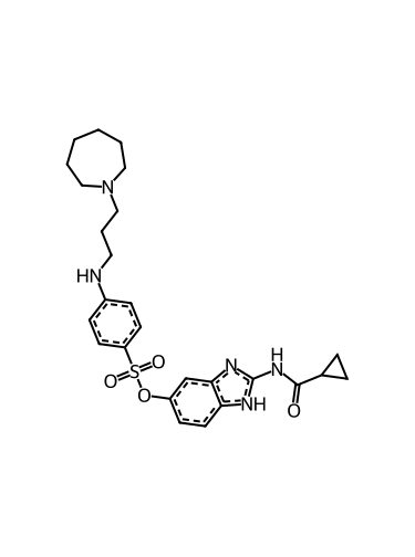 O=C(Nc1nc2cc(OS(=O)(=O)c3ccc(NCCCN4CCCCCC4)cc3)ccc2[nH]1)C1CC1